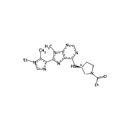 CCC(=O)N1CC[C@H](Nc2ncnc3c2nc(-c2ncn(CC)c2C)n3C)C1